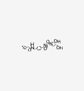 O=C(Cc1ccsc1)NCc1ccc(-c2nc(C(=O)N3CC[C@H](CO)[C@@H](O)C3)co2)cc1